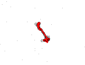 Cc1sc2c(c1C)C(c1ccc(Cl)cc1)=NC(CC(=O)NCCOCCOCCOCCOc1ccc(Oc3ccc(N(Cc4ccccc4)C(=O)CCl)cc3)cc1)c1nnc(C)n1-2